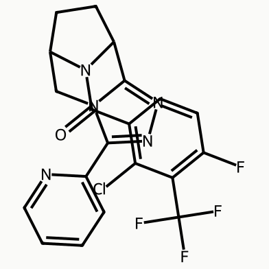 O=C(c1ccc(F)c(C(F)(F)F)c1Cl)N1C2CCC1c1nnc(-c3ccccn3)n1C2